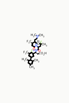 Cc1cc(C)c(-c2cc([C@H](CC(=O)O)NC(=O)C(CC(C)(C)F)n3cc(CCN(C)C)c(C(F)(F)F)cc3=O)c(F)c(C(F)(F)F)c2)c(C)c1